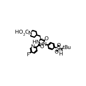 CC(C)(C)NS(=O)(=O)c1ccc(NC(=O)[C@H](CC2CCN(C(=O)O)CC2)NC(=O)c2ccc(F)cn2)cc1